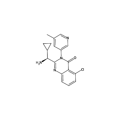 Cc1cncc(-n2c([C@@H](N)C3CC3)nc3cccc(Cl)c3c2=O)c1